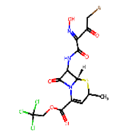 CC1C=C(C(=O)OCC(Cl)(Cl)Cl)N2C(=O)C(NC(=O)C(=NO)C(=O)CBr)[C@@H]2S1